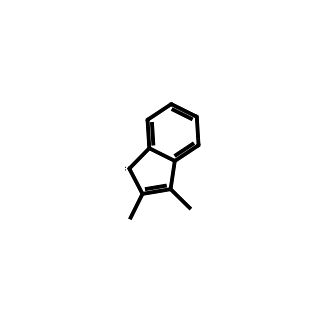 CC1=C(C)c2ccccc2[C]1